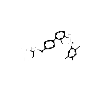 Cc1cc(S(=O)(=O)Nc2cccc(-c3ccc(C(=O)NC(CO)C(=O)O)cc3)c2C)c(C)cc1Cl